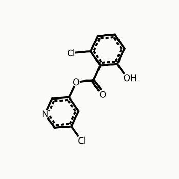 O=C(Oc1cncc(Cl)c1)c1c(O)cccc1Cl